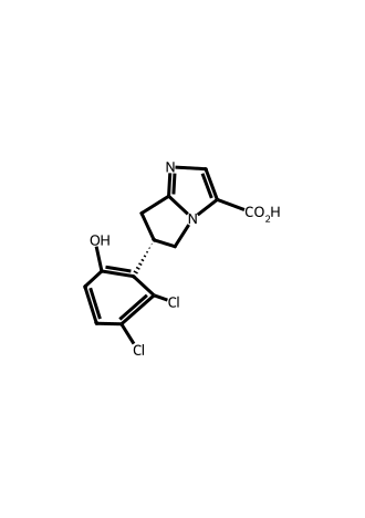 O=C(O)c1cnc2n1C[C@H](c1c(O)ccc(Cl)c1Cl)C2